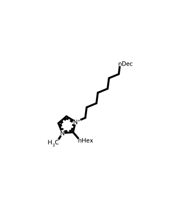 CCCCCCCCCCCCCCCCC[n+]1ccn(C)c1CCCCCC